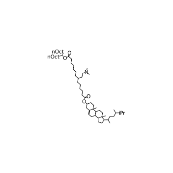 CCCCCCCCC(CCCCCCCC)OC(=O)CCCCCCC(CCCCCC(=O)OC1CCC2(C)C(=CCC3C2CCC2(C)C(C(C)CCC(C)C(C)C)CCC32)C1)CCN(C)C